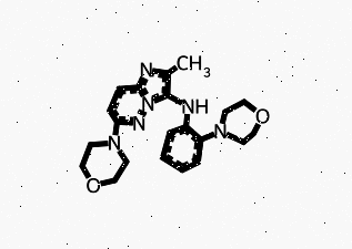 Cc1nc2ccc(N3CCOCC3)nn2c1Nc1ccccc1N1CCOCC1